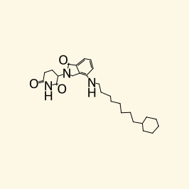 O=C1CCC(N2Cc3c(NCCCCCCCCC4CCCCC4)cccc3C2=O)C(=O)N1